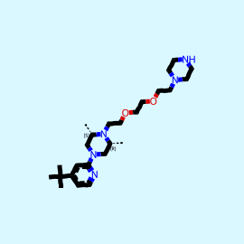 C[C@@H]1CN(c2cc(C(C)(C)C)ccn2)C[C@H](C)N1CCOCCOCCN1CCNCC1